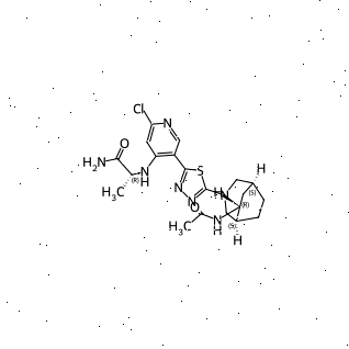 CC(=O)N[C@@H]1C[C@@H]2CC[C@H]1CN(c1nnc(-c3cnc(Cl)cc3N[C@H](C)C(N)=O)s1)C2